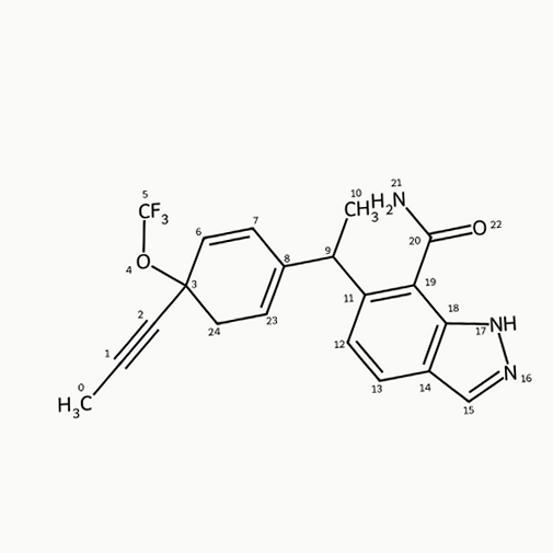 CC#CC1(OC(F)(F)F)C=CC(C(C)c2ccc3cn[nH]c3c2C(N)=O)=CC1